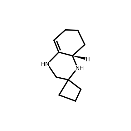 C1=C2NCC3(CCC3)N[C@H]2CCC1